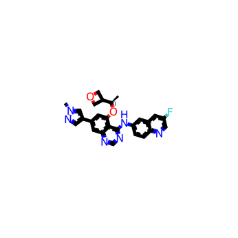 C[C@@H](Oc1cc(-c2cnn(C)c2)cc2ncnc(Nc3ccc4ncc(F)cc4c3)c12)C1COC1